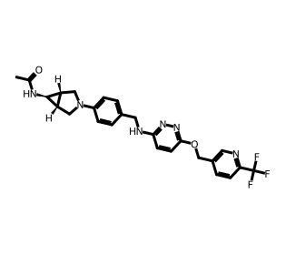 CC(=O)N[C@H]1[C@@H]2CN(c3ccc(CNc4ccc(OCc5ccc(C(F)(F)F)nc5)nn4)cc3)C[C@@H]21